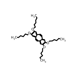 CCCCCCOc1cc2c(cc1OCCCCCC)C#Cc1cc(OCCCCCC)c(OCCCCCC)cc1C#C2